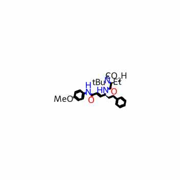 CC[C@@H](C(=O)N[C@H](/C=C/C(=O)Nc1ccc(OC)cc1)CCc1ccccc1)N(C(=O)O)C(C)(C)C